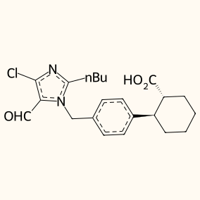 CCCCc1nc(Cl)c(C=O)n1Cc1ccc([C@@H]2CCCC[C@H]2C(=O)O)cc1